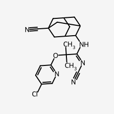 CC(C)(Oc1ccc(Cl)cn1)/C(=N\C#N)NC1C2CC3CC1CC(C#N)(C3)C2